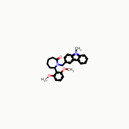 COc1cccc(OC)c1C1CCCCC(=O)N1Cc1ccc2c(c1)c1ccccc1n2C